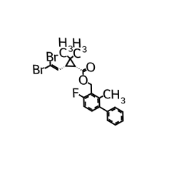 Cc1c(-c2ccccc2)ccc(F)c1COC(=O)[C@@H]1[C@H](C=C(Br)Br)C1(C)C